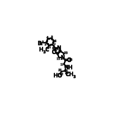 Cc1c(Br)cccc1-c1nc2c(o1)CN(C(=O)CN[C@@H](C)CO)C2